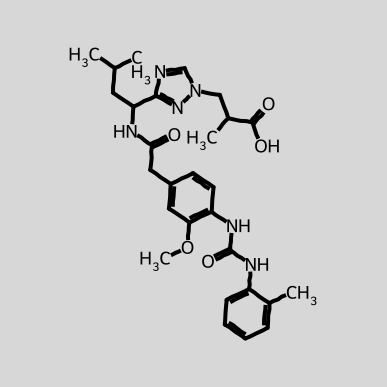 COc1cc(CC(=O)NC(CC(C)C)c2ncn(CC(C)C(=O)O)n2)ccc1NC(=O)Nc1ccccc1C